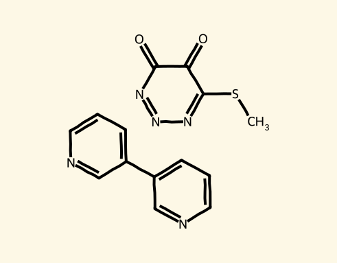 CSC1=NN=NC(=O)C1=O.c1cncc(-c2cccnc2)c1